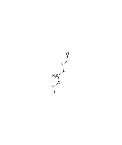 CCO[SiH2]CCCCl